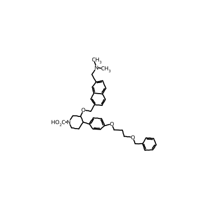 CN(C)Cc1ccc2ccc(COC3CN(C(=O)O)CCC3c3ccc(OCCCOCc4ccccc4)cc3)cc2c1